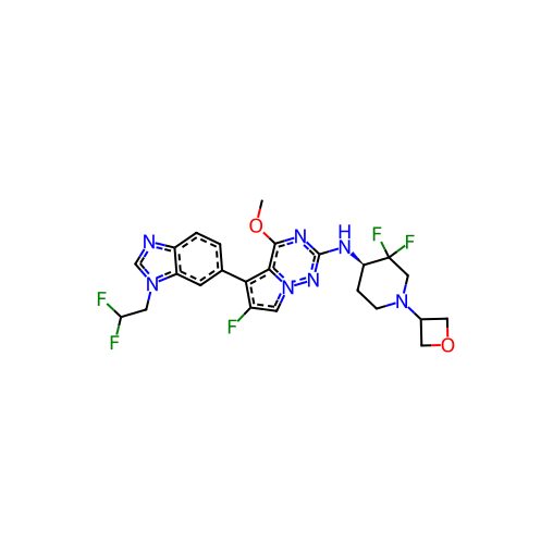 COc1nc(N[C@@H]2CCN(C3COC3)CC2(F)F)nn2cc(F)c(-c3ccc4ncn(CC(F)F)c4c3)c12